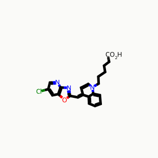 O=C(O)CCCCCN1C=CC(=Cc2nc3ncc(Cl)cc3o2)c2ccccc21